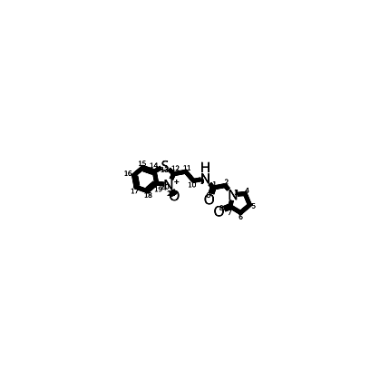 O=C(CN1CCCC1=O)NCCC1Sc2ccccc2[N+]1=O